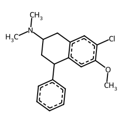 COc1cc2c(cc1Cl)CC(N(C)C)CC2c1ccccc1